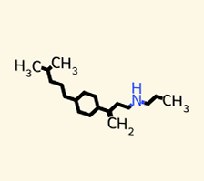 C=C(CCNCCC)C1CCC(CCCC(C)C)CC1